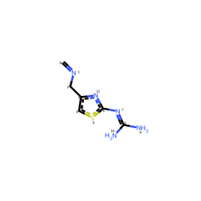 C=NCc1csc(N=C(N)N)n1